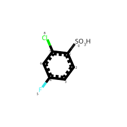 O=S(=O)(O)c1ccc(F)cc1Cl